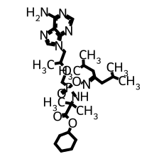 CC(C)CC(CC(C)C)=NOP(=O)(COC(C)Cn1cnc2c(N)ncnc21)NC(C)(C)C(=O)OC1CCCCC1